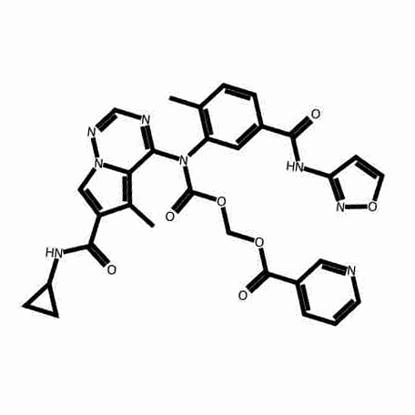 Cc1ccc(C(=O)Nc2ccon2)cc1N(C(=O)OCOC(=O)c1cccnc1)c1ncnn2cc(C(=O)NC3CC3)c(C)c12